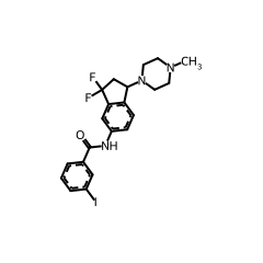 CN1CCN(C2CC(F)(F)c3cc(NC(=O)c4cccc(I)c4)ccc32)CC1